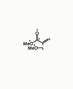 C=CC(=O)OC.COC